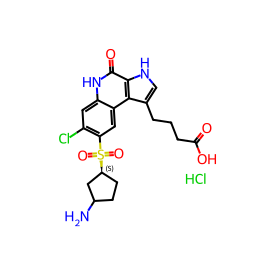 Cl.NC1CC[C@H](S(=O)(=O)c2cc3c(cc2Cl)[nH]c(=O)c2[nH]cc(CCCC(=O)O)c23)C1